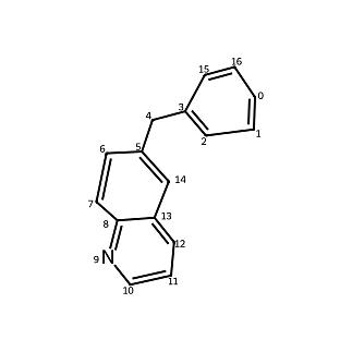 c1ccc(Cc2ccc3ncccc3c2)cc1